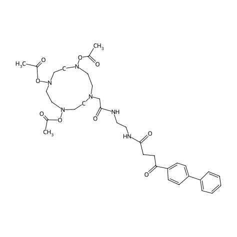 CC(=O)ON1CCN(CC(=O)NCCNC(=O)CCC(=O)c2ccc(-c3ccccc3)cc2)CCN(OC(C)=O)CCN(OC(C)=O)CC1